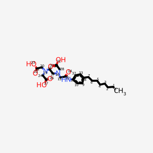 CCCCCCCCc1ccc(NC(=O)CN(CCN(CC(=O)O)CC(=O)O)CC(=O)O)cc1